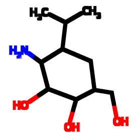 CC(C)C1CC(CO)C(O)C(O)C1N